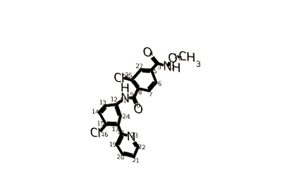 CONC(=O)c1ccc(C(=O)Nc2ccc(Cl)c(-c3ccccn3)c2)c(Cl)c1